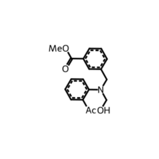 COC(=O)c1cccc(CN(CO)c2ccccc2C(C)=O)c1